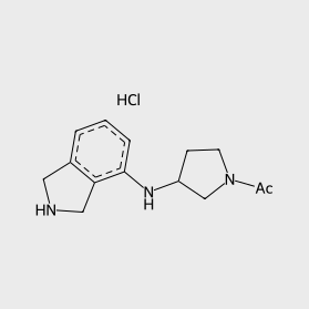 CC(=O)N1CCC(Nc2cccc3c2CNC3)C1.Cl